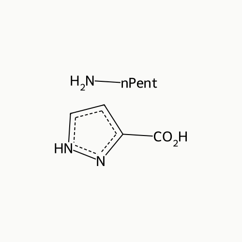 CCCCCN.O=C(O)c1cc[nH]n1